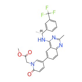 COC(=O)Cn1cc(-c2ccc3nc(C)nc(N[C@H](C)c4cccc(C(F)(F)F)c4)c3c2)ccc1=O